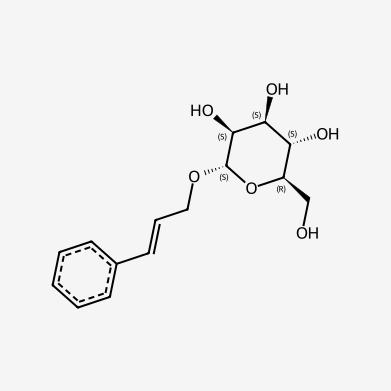 OC[C@H]1O[C@H](OCC=Cc2ccccc2)[C@@H](O)[C@@H](O)[C@@H]1O